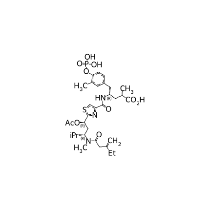 C=C(CC)CC(=O)N(C)[C@H](C[C@@H](OC(C)=O)c1nc(C(=O)N[C@@H](Cc2ccc(OP(=O)(O)O)c(C)c2)CC(C)C(=O)O)cs1)C(C)C